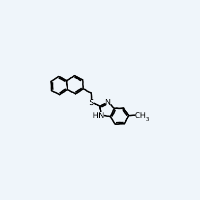 Cc1ccc2[nH]c(SCc3ccc4ccccc4c3)nc2c1